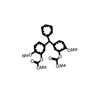 COC(=O)Oc1cc(C(c2ccccc2)c2ccc(OC)c(OC(=O)OC)c2)ccc1OC